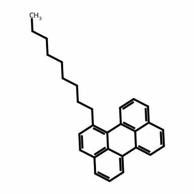 CCCCCCCCCc1ccc2cccc3c4cccc5cccc(c1c23)c54